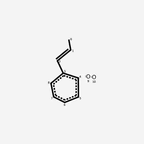 CC=Cc1ccccc1.[O].[O]